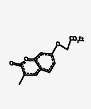 CCOC(=O)COc1ccc2cc(C)c(=O)oc2c1